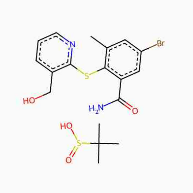 CC(C)(C)S(=O)O.Cc1cc(Br)cc(C(N)=O)c1Sc1ncccc1CO